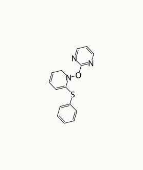 C1=CCN(Oc2ncccn2)C(Sc2ccccc2)=C1